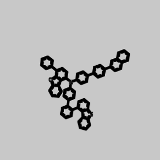 c1ccc(-c2ccc(N(c3ccc(-c4ccc(-c5ccc6ccccc6c5)cc4)cc3)c3ccc(-c4ccccc4-c4cccc5sc6ccccc6c45)cc3)c3c2oc2ccccc23)cc1